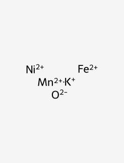 [Fe+2].[K+].[Mn+2].[Ni+2].[O-2]